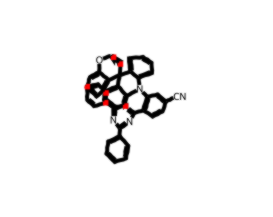 N#Cc1ccc(-c2nc(-c3ccccc3)nc(-c3ccccc3)n2)c(N2c3ccccc3C3(c4ccccc4Oc4ccccc43)c3ccccc32)c1